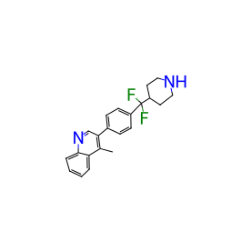 Cc1c(-c2ccc(C(F)(F)C3CCNCC3)cc2)cnc2ccccc12